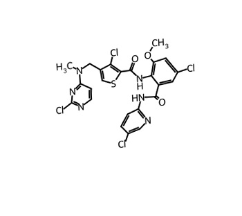 COc1cc(Cl)cc(C(=O)Nc2ccc(Cl)cn2)c1NC(=O)c1scc(CN(C)c2ccnc(Cl)n2)c1Cl